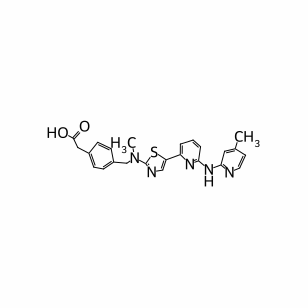 Cc1ccnc(Nc2cccc(-c3cnc(N(C)Cc4ccc(CC(=O)O)cc4)s3)n2)c1